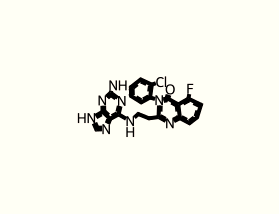 Nc1nc(NCCc2nc3cccc(F)c3c(=O)n2-c2ccccc2Cl)c2nc[nH]c2n1